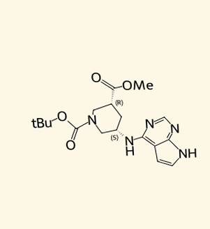 COC(=O)[C@@H]1C[C@H](Nc2ncnc3[nH]ccc23)CN(C(=O)OC(C)(C)C)C1